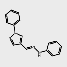 C(=NNc1ccccc1)c1cnn(-c2ccccc2)n1